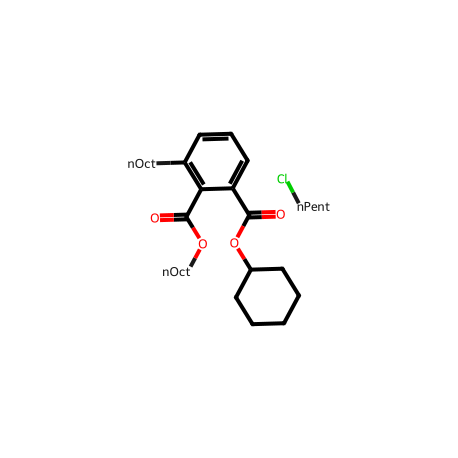 CCCCCCCCOC(=O)c1c(CCCCCCCC)cccc1C(=O)OC1CCCCC1.CCCCCCl